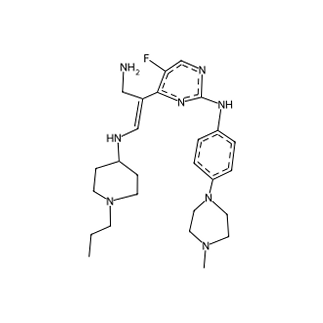 CCCN1CCC(N/C=C(\CN)c2nc(Nc3ccc(N4CCN(C)CC4)cc3)ncc2F)CC1